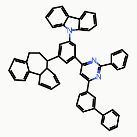 C1=CC2c3ccccc3CCC(c3cc(-c4cc(-c5cccc(-c6ccccc6)c5)nc(-c5ccccc5)n4)cc(-n4c5ccccc5c5ccccc54)c3)C2C=C1